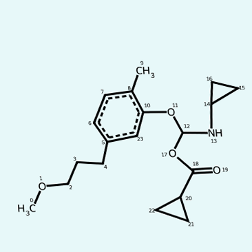 COCCCc1ccc(C)c(OC(NC2CC2)OC(=O)C2CC2)c1